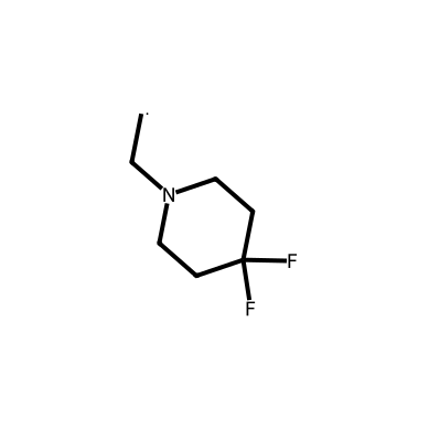 [CH2]CN1CCC(F)(F)CC1